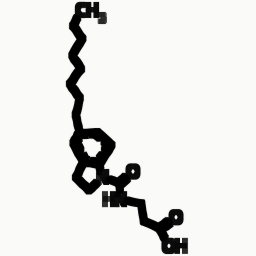 CCCCCCCCc1ccc2c(c1)CCN2C(=O)NCCC(=O)O